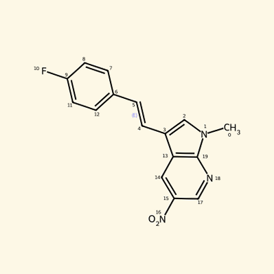 Cn1cc(/C=C/c2ccc(F)cc2)c2cc([N+](=O)[O-])cnc21